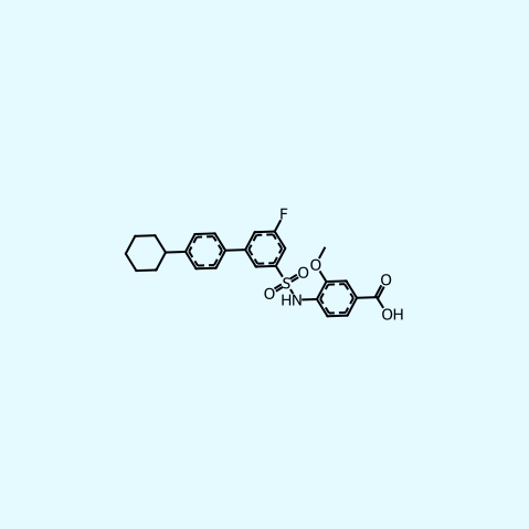 COc1cc(C(=O)O)ccc1NS(=O)(=O)c1cc(F)cc(-c2ccc(C3CCCCC3)cc2)c1